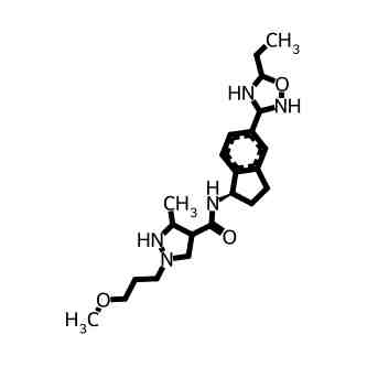 CCC1NC(c2ccc3c(c2)CC[C@H]3NC(=O)C2CN(CCCOC)NC2C)NO1